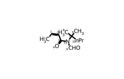 C/C=C\C(=O)N(C=O)C(C)(C)CCC